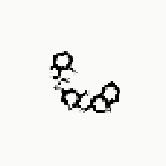 O=S(=O)(Nc1cnc(Oc2cnc3ccccc3c2)c(Cl)c1)c1c(F)cccc1F